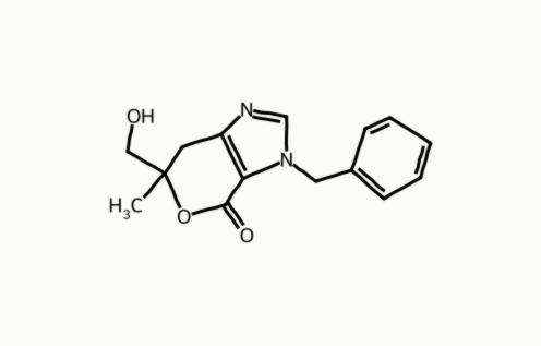 CC1(CO)Cc2ncn(Cc3ccccc3)c2C(=O)O1